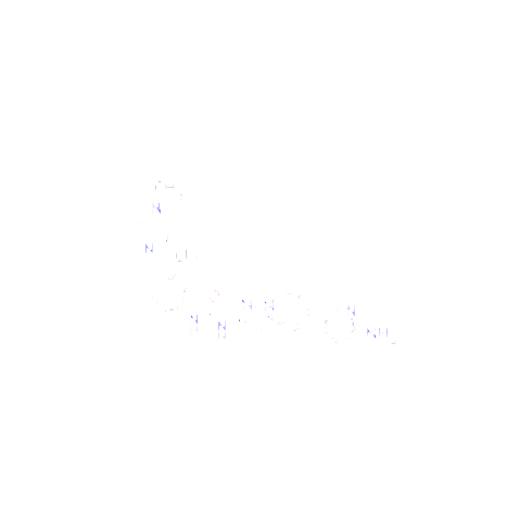 CN1CCN(Cc2ccc(NC(=O)Nc3cc4cc(-c5ccc(N)nc5)ccn4n3)cc2C(F)(F)F)CC1